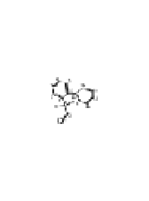 CC(C)(C=O)c1ccccc1-c1ccccc1